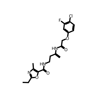 C=C(CCNC(=O)c1oc(CC)nc1C)NC(=O)COc1ccc(Cl)c(F)c1